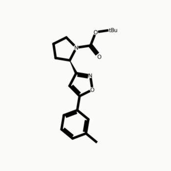 Cc1cccc(-c2cc([C@H]3CCCN3C(=O)OC(C)(C)C)no2)c1